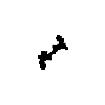 Cc1ncsc1-c1ccc(CNC(=O)[C@@H]2C[C@H](O)CN2C(=O)[C@@H](NC(=O)COCCCOc2ccc(Nc3ncc(C(F)(F)F)c(NCc4cccc(N(C)S(C)(=O)=O)c4)n3)cc2)C(C)(C)C)cc1